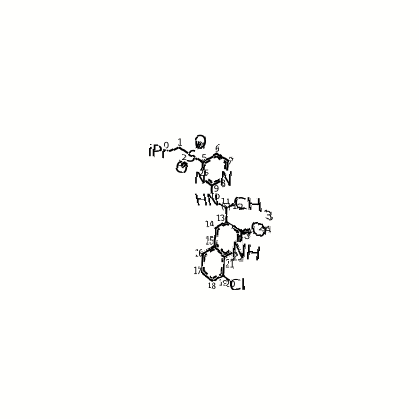 CC(C)CS(=O)(=O)c1ccnc(N[C@@H](C)c2cc3cccc(Cl)c3[nH]c2=O)n1